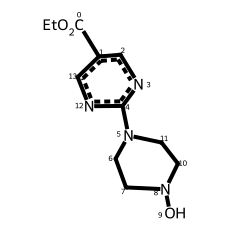 CCOC(=O)c1cnc(N2CCN(O)CC2)nc1